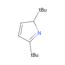 CC(C)(C)C1=NC(C(C)(C)C)C=C1